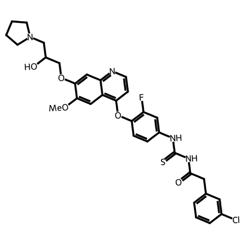 COc1cc2c(Oc3ccc(NC(=S)NC(=O)Cc4cccc(Cl)c4)cc3F)ccnc2cc1OCC(O)CN1CCCC1